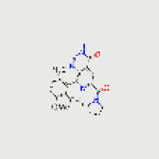 COc1ccc(C)c(-c2nc(C(=O)N3CCCC3)cc3c(=O)[nH]cnc23)c1C